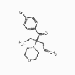 C=CCC(CC)(C(=O)c1ccc(Br)cc1)N1CCOCC1